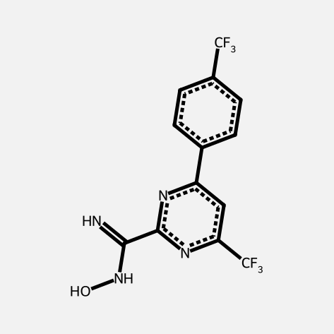 N=C(NO)c1nc(-c2ccc(C(F)(F)F)cc2)cc(C(F)(F)F)n1